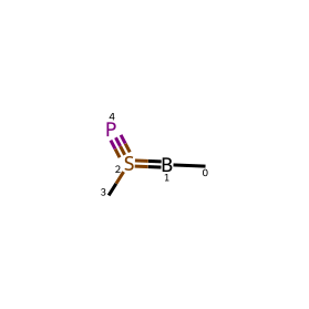 CB=S(C)#P